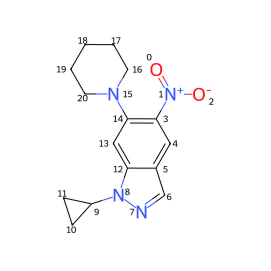 O=[N+]([O-])c1cc2cnn(C3CC3)c2cc1N1CCCCC1